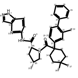 O=C(Nc1ccc2[nH]ncc2n1)[C@H]1C[C@@H](F)CN1C(=O)C1(c2ccc(-c3ccccc3)c(F)c2)CCC(F)(F)CC1